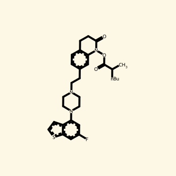 CCCCC(C)C(=O)ON1C(=O)CCc2ccc(CCN3CCN(c4cc(F)cc5sccc45)CC3)cc21